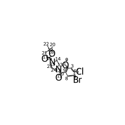 COc1cc(Cl)c(Br)cc1C(=O)N1CCN(C(=O)OC(C)(C)C)CC1